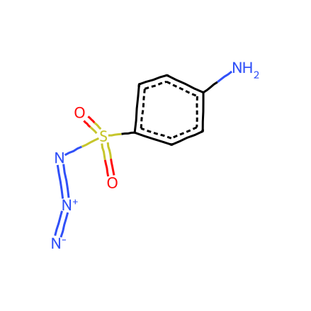 [N-]=[N+]=NS(=O)(=O)c1ccc(N)cc1